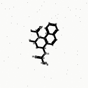 CC(=O)N1c2c(ccc3ccccc23)C(OC(N)=O)CC1C